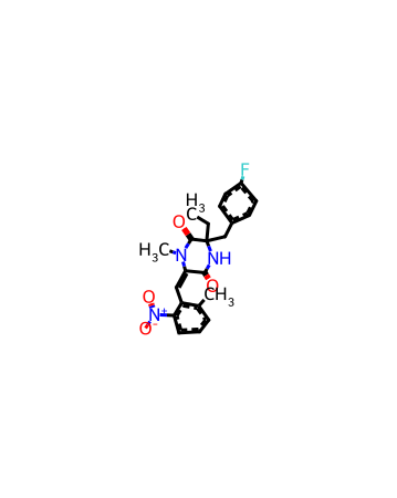 CCC1(Cc2ccc(F)cc2)NC(=O)C(=Cc2c(C)cccc2[N+](=O)[O-])N(C)C1=O